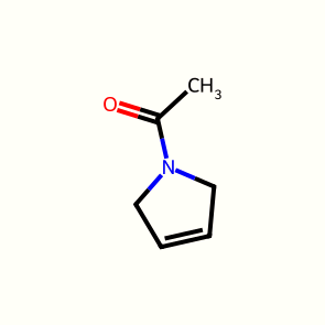 CC(=O)N1CC=CC1